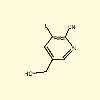 N#Cc1ncc(CO)cc1I